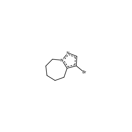 Brc1cnn2c1CCCCC2